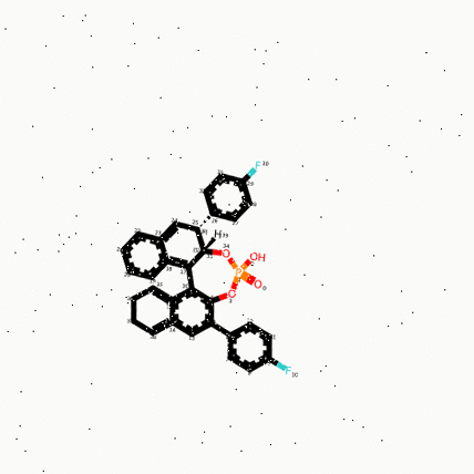 O=P1(O)Oc2c(-c3ccc(F)cc3)cc3c(c2C2=c4ccccc4=C[C@H](c4ccc(F)cc4)[C@@H]2O1)=CCCC=3